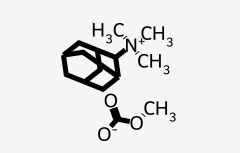 COC(=O)[O-].C[N+](C)(C)C1C2CC3CC(C2)CC1C3